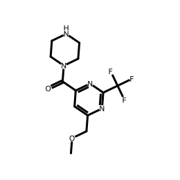 COCc1cc(C(=O)N2CCNCC2)nc(C(F)(F)F)n1